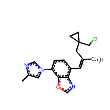 Cc1cn(-c2ccc(/C=C(\CC3(CCl)CC3)C(=O)O)c3ncoc23)cn1